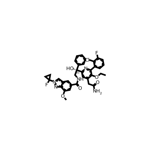 CCOc1c(CC(N)=O)cc([C@@](O)(CNC(=O)c2cc(OC)c3nn(C4(F)CC4)cc3c2)c2ccccc2)nc1-c1cccc(F)c1Cl